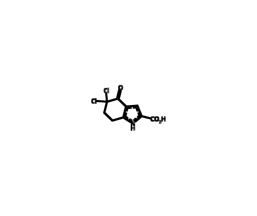 O=C(O)c1cc2c([nH]1)CCC(Cl)(Cl)C2=O